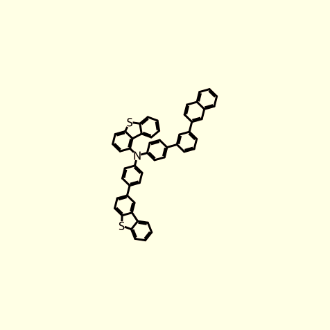 c1cc(-c2ccc(N(c3ccc(-c4ccc5sc6ccccc6c5c4)cc3)c3cccc4sc5ccccc5c34)cc2)cc(-c2ccc3ccccc3c2)c1